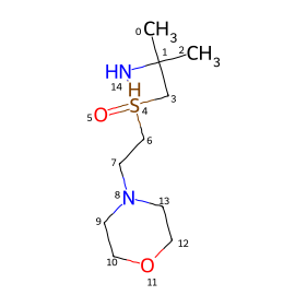 CC1(C)C[SH](=O)(CCN2CCOCC2)N1